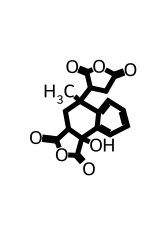 CC1(C2CC(=O)OC2=O)CC2C(=O)OC(=O)C2(O)c2ccccc21